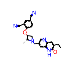 CCc1cc2ncc(CN3CC(Oc4ccc(C#N)cc4C#N)[C@H]3C)cc2[nH]c1=O